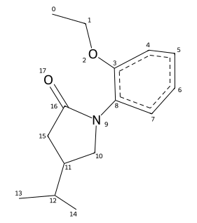 CCOc1ccccc1N1CC(C(C)C)CC1=O